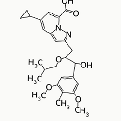 COc1cc(C(O)C(Cc2cc3cc(C4CC4)cc(C(=O)O)n3n2)OCC(C)C)cc(OC)c1C